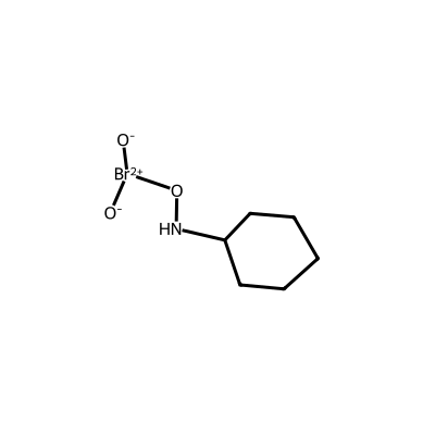 [O-][Br+2]([O-])ONC1CCCCC1